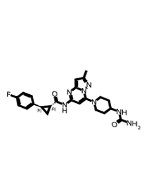 Cc1cc2nc(NC(=O)[C@@H]3C[C@H]3c3ccc(F)cc3)cc(N3CCC(NC(N)=O)CC3)n2n1